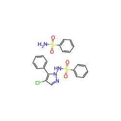 NS(=O)(=O)c1ccccc1.O=S(=O)(Nn1ncc(Cl)c1-c1ccccc1)c1ccccc1